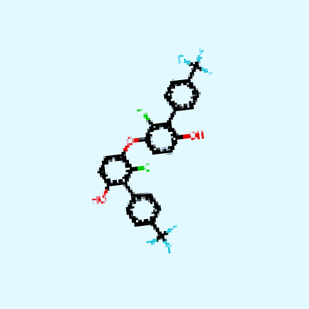 Oc1ccc(Oc2ccc(O)c(-c3ccc(C(F)(F)F)cc3)c2Cl)c(Cl)c1-c1ccc(C(F)(F)F)cc1